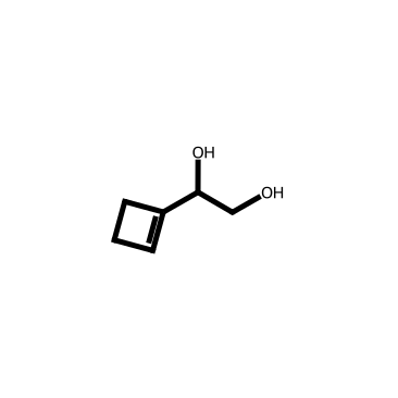 OCC(O)C1=CCC1